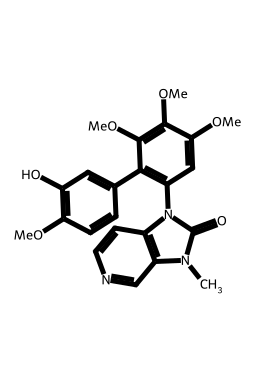 COc1ccc(-c2c(-n3c(=O)n(C)c4cnccc43)cc(OC)c(OC)c2OC)cc1O